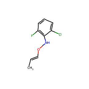 CC=CONc1c(F)cccc1Cl